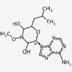 CON1C(O)C(CC(C)C)O[C@@H](n2cnc3c(N)ncnc32)C1O